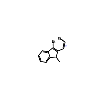 CC/C=C\C1=C(CC)c2ccccc2C1C